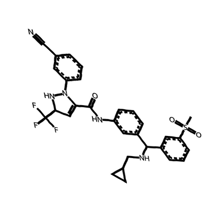 CS(=O)(=O)c1cccc(C(NCC2CC2)c2cccc(NC(=O)C3=CC(C(F)(F)F)NN3c3cccc(C#N)c3)c2)c1